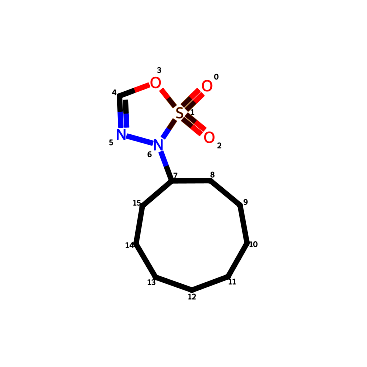 O=S1(=O)OC=NN1C1CCCCCCCC1